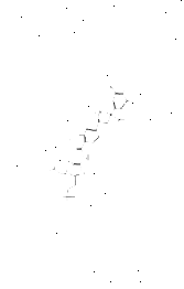 Cc1cc(C2=NOC(c3cc(Cl)c(F)c(Cl)c3)(C(F)(F)F)C2)ccc1C(=O)Nc1nc(CCC(F)(F)F)n(CC(F)F)n1